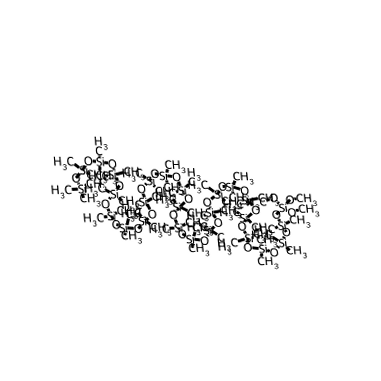 CO[Si](OC)(OC)O[Si](C)(C)O[Si](C)(C)O[Si](C)(C)O[Si](C)(C)O[Si](C)(C)O[Si](C)(C)O[Si](C)(C)O[Si](C)(C)O[Si](C)(C)O[Si](C)(C)O[Si](C)(C)O[Si](C)(C)O[Si](C)(C)O[Si](C)(C)O[Si](C)(C)O[Si](C)(C)O[Si](C)(C)O[Si](C)(C)O[Si](C)(C)O[Si](C)(C)O[Si](C)(C)O[Si](C)(C)O[Si](C)(C)O[Si](C)(C)O[Si](C)(C)C